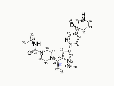 C=Nn1cc(-c2ccc([C@@]3(OC)CCCNC3)cn2)cc1/C(=C\C)N1CCN(C(=O)NC(C)C)CC1